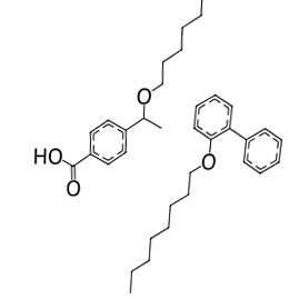 CCCCCCCCOc1ccccc1-c1ccccc1.CCCCCCOC(C)c1ccc(C(=O)O)cc1